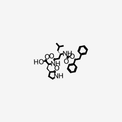 CC(C)C[C@@H](CC(=O)N[C@@H](C[C@@H]1CCNC1=O)C(=O)O)NC(=O)OC(Cc1ccccc1)c1ccccc1